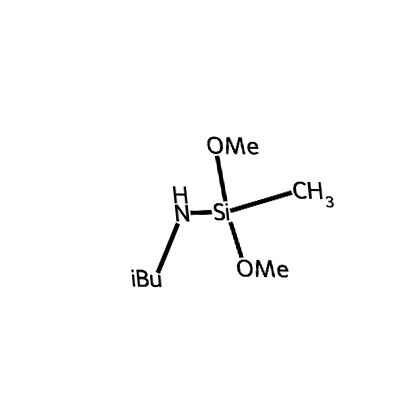 CCC(C)N[Si](C)(OC)OC